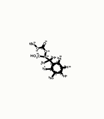 [2H]c1c([2H])c([2H])c(C([2H])([2H])N(OC(=O)OC(C)(C)C)C(=O)O)c([2H])c1[2H]